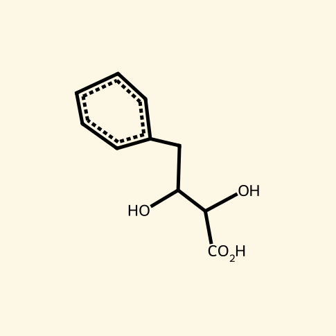 O=C(O)C(O)C(O)Cc1ccccc1